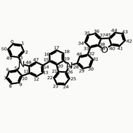 c1ccc(-n2c3ccccc3c3ccc(-c4cccc5c4c4ccccc4n5-c4cccc(-c5cccc6c5oc5ccccc56)c4)cc32)cc1